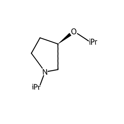 CC(C)O[C@@H]1CCN(C(C)C)C1